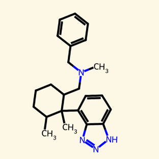 CC1CCCC(CN(C)Cc2ccccc2)C1(C)c1cccc2[nH]nnc12